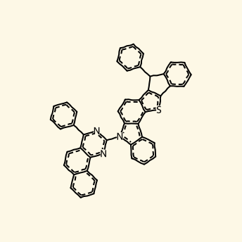 c1ccc(-c2nc(-n3c4ccccc4c4c5sc6c(c5ccc43)C(c3ccccc3)c3ccccc3-6)nc3c2ccc2ccccc23)cc1